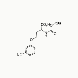 CC(C)(C)OC(=O)NC(CCOc1cccc(C#N)c1)C(=O)O